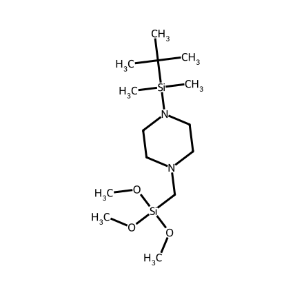 CO[Si](CN1CCN([Si](C)(C)C(C)(C)C)CC1)(OC)OC